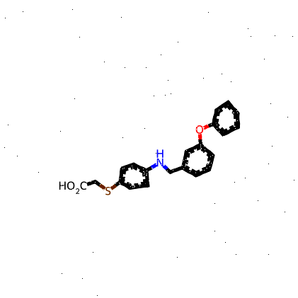 O=C(O)CSc1ccc(NCc2cccc(Oc3ccccc3)c2)cc1